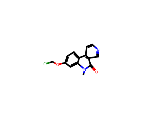 Cn1c(=O)c2cnccc2c2ccc(OCCl)cc21